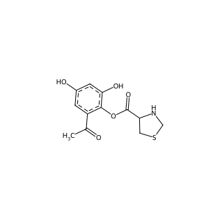 CC(=O)c1cc(O)cc(O)c1OC(=O)C1CSCN1